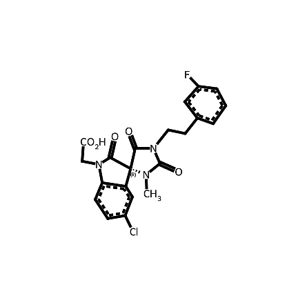 CN1C(=O)N(CCc2cccc(F)c2)C(=O)[C@@]12C(=O)N(CC(=O)O)c1ccc(Cl)cc12